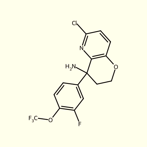 NC1(c2ccc(OC(F)(F)F)c(F)c2)CCOc2ccc(Cl)nc21